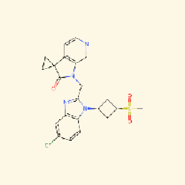 CS(=O)(=O)[C@H]1C[C@@H](n2c(CN3C(=O)C4(CC4)c4ccncc43)nc3cc(Cl)ccc32)C1